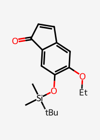 CCOc1cc2c(cc1O[Si](C)(C)C(C)(C)C)C(=O)C=C2